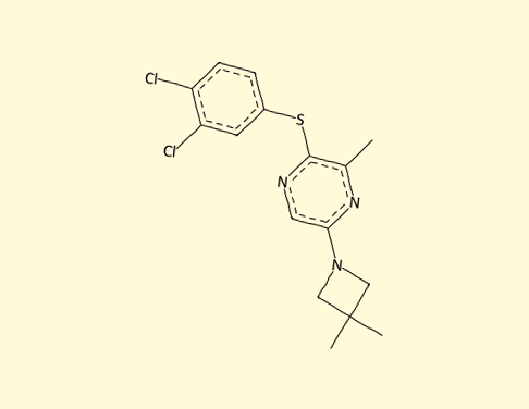 Cc1nc(N2CC(C)(C)C2)cnc1Sc1ccc(Cl)c(Cl)c1